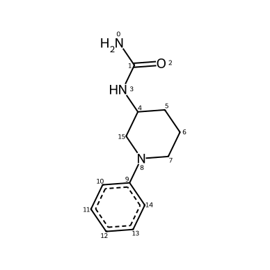 NC(=O)NC1CCCN(c2ccccc2)C1